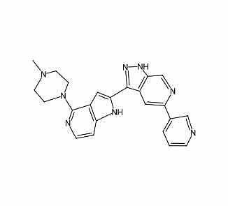 CN1CCN(c2nccc3[nH]c(-c4n[nH]c5cnc(-c6cccnc6)cc45)cc23)CC1